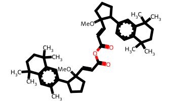 COC1(C=CC(=O)OC(=O)C=CC2(OC)CCCC2c2cc3c(cc2C)C(C)(C)CCC3(C)C)CCCC1c1ccc2c(c1)C(C)(C)CCC2(C)C